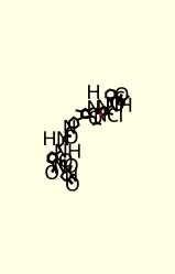 Cc1cc(Nc2ncc(Cl)c(NC3CCCCC3S(=O)(=O)C(C)C)n2)c(OC(C)C)cc1C1CCN(CC(=O)NCCNc2cccc3c2C(=O)N(C2CCC(=O)N(C)C2=O)C3=O)CC1